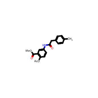 COC(=O)c1cc(NC(=O)Cc2ccc(C)cc2)ccc1OC(C)=O